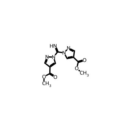 COC(=O)c1cnn(C(=N)n2cc(C(=O)OC)cn2)c1